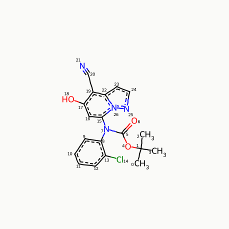 CC(C)(C)OC(=O)N(c1ccccc1Cl)c1cc(O)c(C#N)c2ccnn12